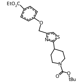 CCOC(=O)c1ccc(OCc2csc(C3CCN(C(=O)OC(C)(C)C)CC3)n2)cc1